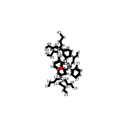 CCCCN(P(c1cccc([Si](CCCC)(CCCC)CCCC)c1)c1ccccc1C)P(c1cccc([Si](CCCC)(CCCC)CCCC)c1)c1ccccc1C